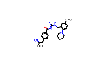 COc1ccc(N2CCCCC2)c(CNC(N)=NC(=O)c2ccc(CC(N)C(=O)O)cc2)c1